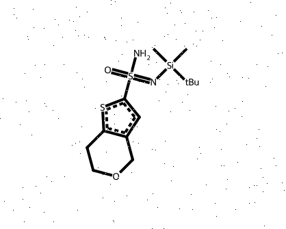 CC(C)(C)[Si](C)(C)N=S(N)(=O)c1cc2c(s1)CCOC2